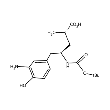 C[C@@H](C[C@H](Cc1ccc(O)c(N)c1)NC(=O)OC(C)(C)C)C(=O)O